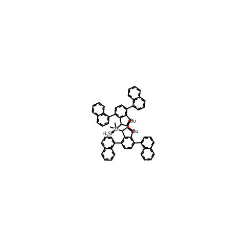 CC(C)(C)C1=Cc2c(-c3cccc4ccccc34)ccc(-c3cccc4ccccc34)c2[CH]1[Zr]([CH3])([CH3])(=[SiH2])[CH]1C(C(C)(C)C)=Cc2c(-c3cccc4ccccc34)ccc(-c3cccc4ccccc34)c21